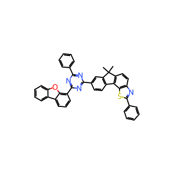 CC1(C)c2cc(-c3nc(-c4ccccc4)nc(-c4cccc5c4oc4ccccc45)n3)ccc2-c2c1ccc1nc(-c3ccccc3)sc21